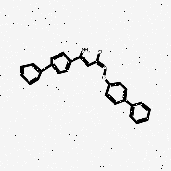 N/C(=C\C(Cl)=N/Oc1ccc(-c2ccccc2)cc1)c1ccc(-c2ccccc2)cc1